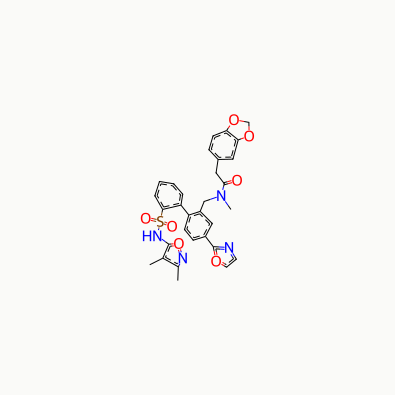 Cc1noc(NS(=O)(=O)c2ccccc2-c2ccc(-c3ncco3)cc2CN(C)C(=O)Cc2ccc3c(c2)OCO3)c1C